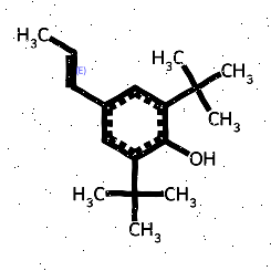 C/C=C/c1cc(C(C)(C)C)c(O)c(C(C)(C)C)c1